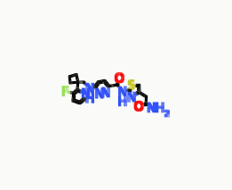 NC(=O)Cc1csc(NC(=O)c2ccc(NCC3(c4ncccc4F)CCC3)nn2)n1